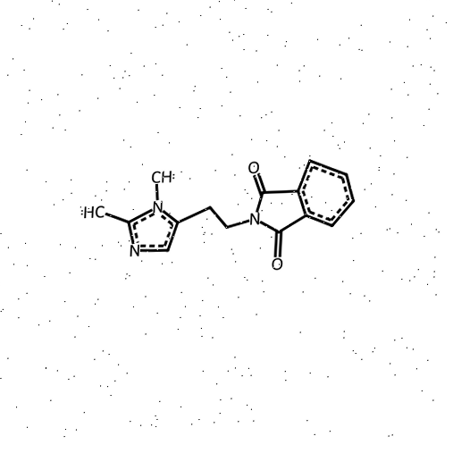 [CH]c1ncc(CCN2C(=O)c3ccccc3C2=O)n1[CH]